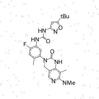 CNc1ncc2c(c1C)NC(=O)N(c1cc(NC(=O)Nc3cc(C(C)(C)C)on3)c(F)cc1C)C2